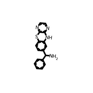 NC(c1ccccc1)c1ccc2c(c1)Nc1nccnc1S2